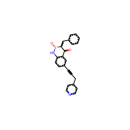 O=C1/C(=C\c2ccccc2)[S+]([O-])Nc2ccc(C#CCc3ccncc3)cc21